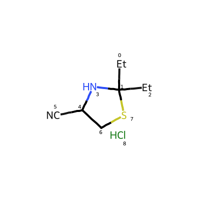 CCC1(CC)NC(C#N)CS1.Cl